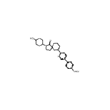 CC(=O)Nc1ccc(-c2ccc(N3CCCC4(CCN(C5CCC(O)CC5)C4=O)C3)nc2)cc1